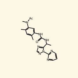 CC(=O)N(C)c1cc(NC(=O)NC(C)c2ncnn2-c2ncccn2)c(C)cc1C